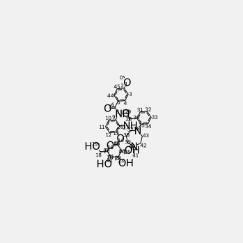 COc1ccc(C(=O)Nc2cccc(O[C@@H]3O[C@H](CO)[C@@H](O)[C@H](O)[C@H]3O)c2NC(=O)c2ccccc2N2CCCN(C)CC2)cc1